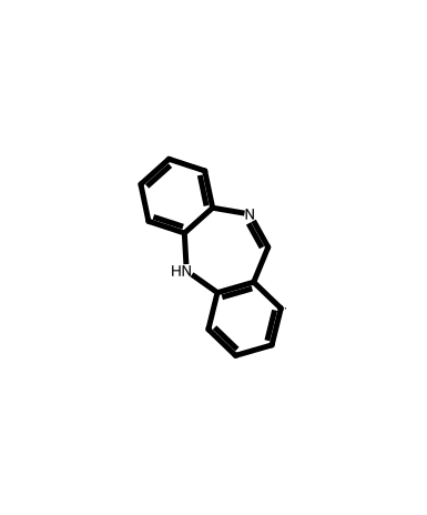 [c]1cccc2c1C=Nc1ccccc1N2